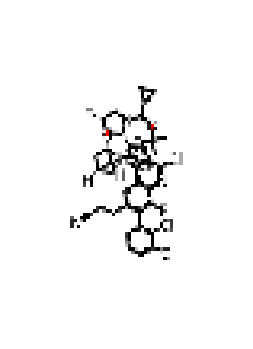 CC(C)(C)OC(=O)N1C[C@H]2C[C@@H]1[C@H]2n1c([C@H]2C[C@H](F)CN2C(=O)C2CC2)cc2c(Cl)nc3c(F)c(-c4cccc(Cl)c4Cl)c(CCC#N)cc3c21